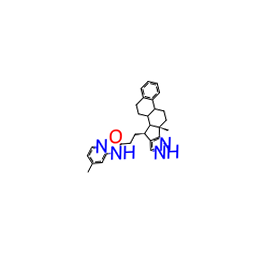 Cc1ccnc(NC(=O)CC[C@@H]2c3c[nH]nc3[C@@]3(C)CCC4c5ccccc5CCC4C23)c1